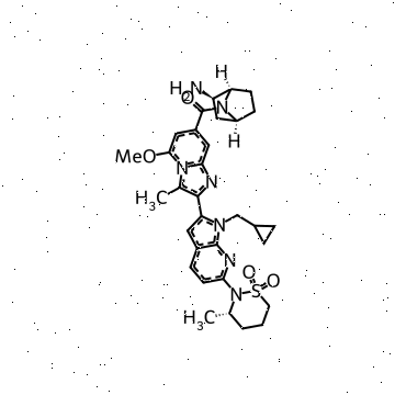 COc1cc(C(=O)N2[C@H]3CC[C@@H]2[C@H](N)C3)cc2nc(-c3cc4ccc(N5[C@@H](C)CCCS5(=O)=O)nc4n3CC3CC3)c(C)n12